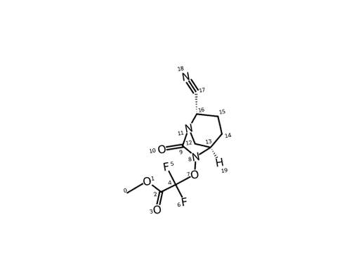 COC(=O)C(F)(F)ON1C(=O)N2C[C@H]1CC[C@H]2C#N